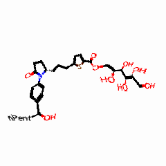 CCCCC[C@H](O)c1ccc(N2C(=O)CC[C@@H]2CCCc2ccc(C(=O)OC[C@H](O)[C@@H](O)[C@@H](O)[C@H](O)CO)s2)cc1